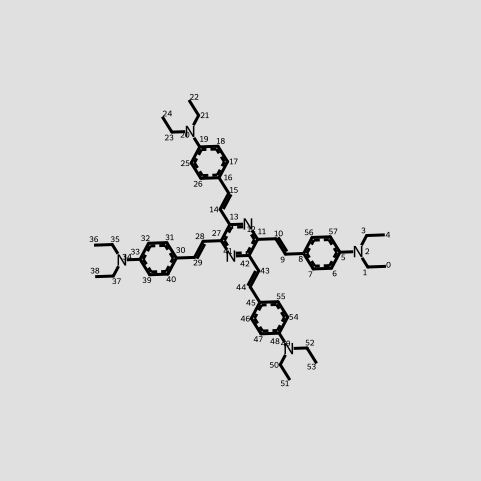 CCN(CC)c1ccc(C=Cc2nc(C=Cc3ccc(N(CC)CC)cc3)c(C=Cc3ccc(N(CC)CC)cc3)nc2C=Cc2ccc(N(CC)CC)cc2)cc1